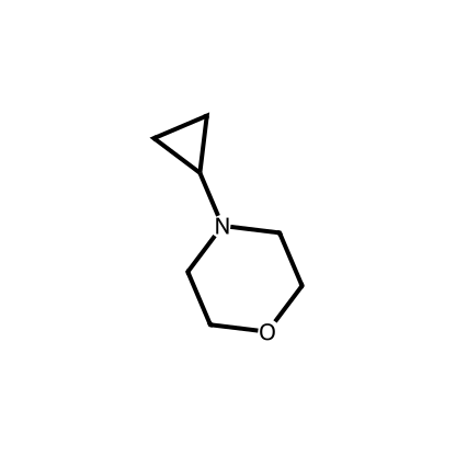 C1CN(C2CC2)CCO1